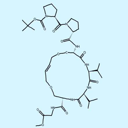 COC(=O)CNC(=O)[C@@H]1COC/C=C/COC[C@H](NC(=O)[C@H]2CCCN2C(=O)[C@@H]2CCCN2C(=O)OC(C)(C)C)C(=O)N[C@@H](C(C)C)C(=O)N[C@@H](C(C)C)C(=O)N1